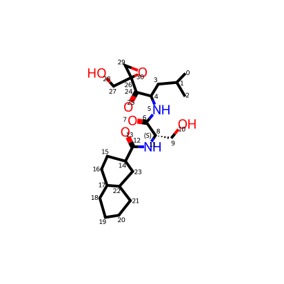 CC(C)CC(NC(=O)[C@H](CO)NC(=O)C1CCC2CCCCC2C1)C(=O)C1(CO)CO1